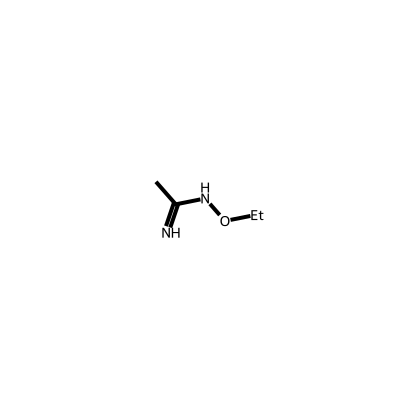 CCONC(C)=N